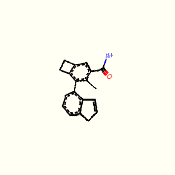 Cc1c(C([NH])=O)cc2c(c1-c1cccc3c1C=CC3)CC2